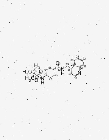 CC(C)(C)S(=O)(=O)N[C@H]1CC[C@H](C(=O)NCc2ccnc3ccccc23)CC1